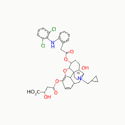 O=C(CC(O)C(=O)O)OC1=C2OC3C(OC(=O)Cc4ccccc4Nc4c(Cl)cccc4Cl)CC[C@@]4(O)C5CC(C=C1)C2C34CCN5CC1CC1